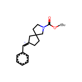 CC(C)(C)OC(=O)N1CCC2(CC/C(=C\c3ccccc3)C2)C1